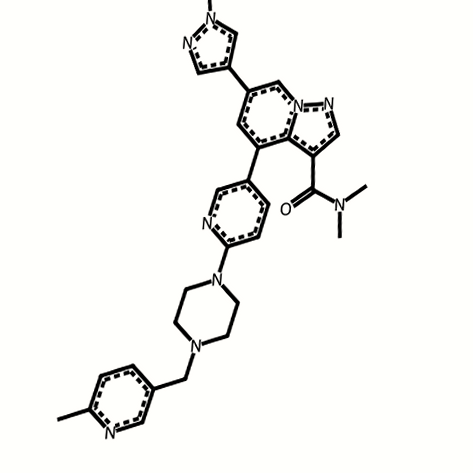 Cc1ccc(CN2CCN(c3ccc(-c4cc(-c5cnn(C)c5)cn5ncc(C(=O)N(C)C)c45)cn3)CC2)cn1